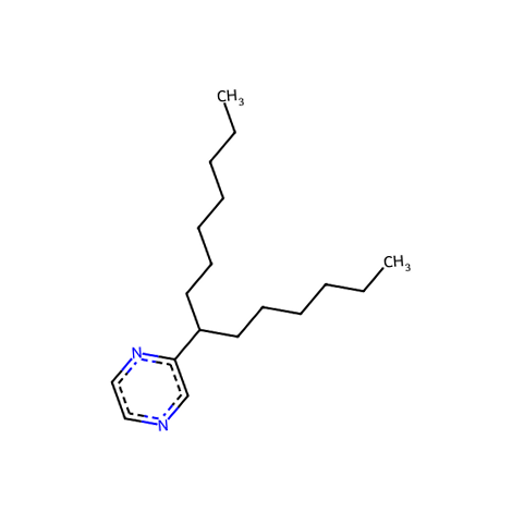 CCCCCCCC(CCCCCC)c1cnccn1